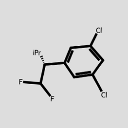 CC(C)[C@H](c1cc(Cl)cc(Cl)c1)C(F)F